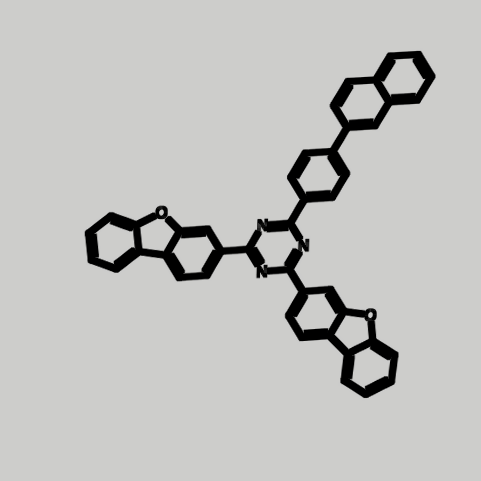 c1ccc2cc(-c3ccc(-c4nc(-c5ccc6c(c5)oc5ccccc56)nc(-c5ccc6c(c5)oc5ccccc56)n4)cc3)ccc2c1